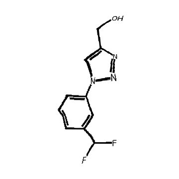 OCc1cn(-c2cccc(C(F)F)c2)nn1